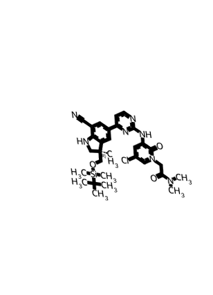 CN(C)C(=O)Cn1cc(Cl)cc(Nc2nccc(-c3cc(C#N)c4c(c3)[C@@](C)(CO[Si](C)(C)C(C)(C)C)CN4)n2)c1=O